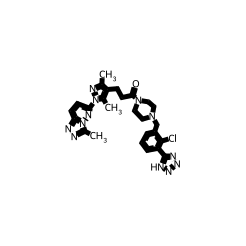 Cc1nn(-c2ccc3nnc(C)n3n2)c(C)c1CCC(=O)N1CCN(Cc2cccc(-c3nnn[nH]3)c2Cl)CC1